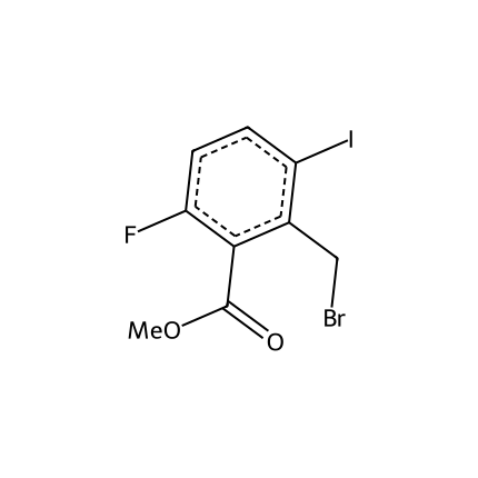 COC(=O)c1c(F)ccc(I)c1CBr